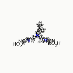 CCCn1c(/C=C/c2ccc(N(c3ccc(/C=C/c4ccc(/C=C(\C#N)C(=O)O)n4CCC)cc3)c3ccc(/C=C(\c4ccccc4)c4ccc(C)c(C)c4)cc3)cc2)ccc1/C=C(\C#N)C(=O)O